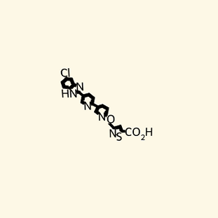 O=C(O)c1cc(COc2ccc(-c3ccc(-c4nc5cc(Cl)ccc5[nH]4)cn3)cn2)ns1